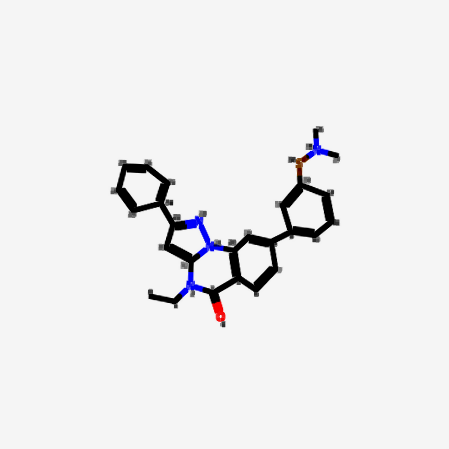 CCn1c(=O)c2ccc(-c3cccc(SN(C)C)c3)cc2n2nc(-c3ccccc3)cc12